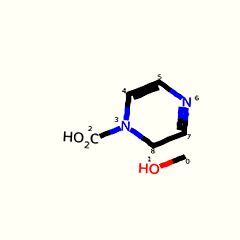 CO.O=C(O)N1C=CN=CC1